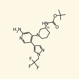 CC(C)(C)OC(=O)N[C@H]1CCCN(c2cc(N)ncc2-c2cnn(CC(F)(F)F)c2)C1